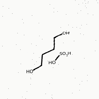 O=S(=O)(O)O.OCCCCO